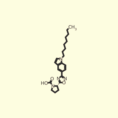 CCCCCCCCCn1ccc2cc(-c3noc([C@@H]4CCCN4C(=O)O)n3)ccc21